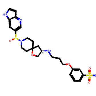 NS(=O)(=O)c1cccc(OCCCN[C@H]2COC3(CCN([S+]([O-])c4cnc5cc[nH]c5c4)CC3)C2)c1